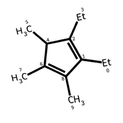 CCC1=C(CC)C(C)C(C)=C1C